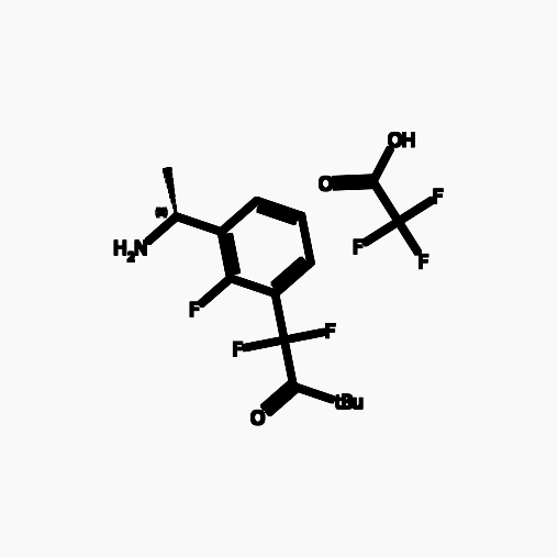 C[C@@H](N)c1cccc(C(F)(F)C(=O)C(C)(C)C)c1F.O=C(O)C(F)(F)F